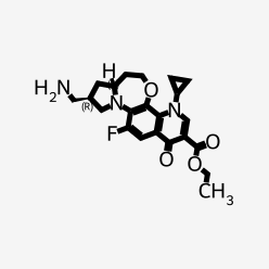 CCOC(=O)c1cn(C2CC2)c2c3c(c(F)cc2c1=O)N1C[C@@H](CN)C[C@@H]1CCO3